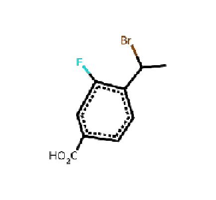 CC(Br)c1ccc(C(=O)O)cc1F